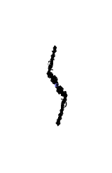 CCCCCCCCCOCCc1ccc(-c2ccc(/C=C/c3ccc(-c4ccc(CCOCCCCCCCCC)s4)cc3)cc2)s1